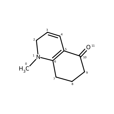 CN1CC=CC2=C1CCCC2=O